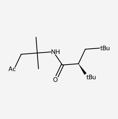 CC(=O)CC(C)(C)NC(=O)[C@@H](CC(C)(C)C)C(C)(C)C